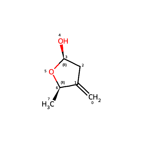 C=C1C[C@H](O)O[C@@H]1C